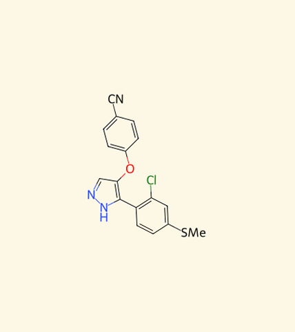 CSc1ccc(-c2[nH]ncc2Oc2ccc(C#N)cc2)c(Cl)c1